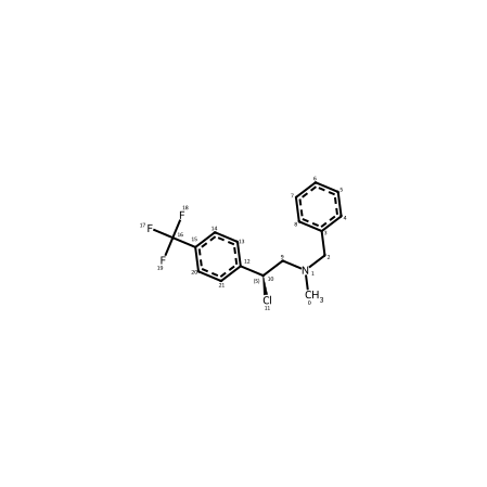 CN(Cc1ccccc1)C[C@@H](Cl)c1ccc(C(F)(F)F)cc1